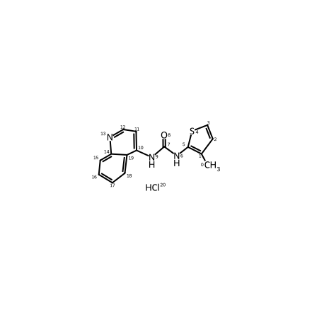 Cc1ccsc1NC(=O)Nc1ccnc2ccccc12.Cl